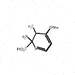 COC1=CC=NC(N)(C(=O)O)C1C